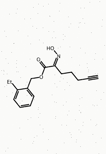 C#CCCC/C(=N/O)C(=O)OCc1ccccc1CC